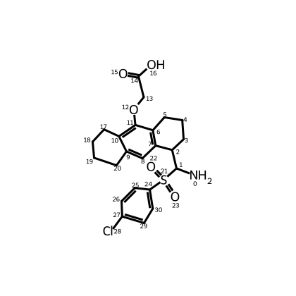 NC(C1CCCc2c1cc1c(c2OCC(=O)O)CCCC1)S(=O)(=O)c1ccc(Cl)cc1